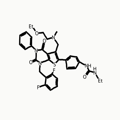 CCNC(=O)Nc1ccc(-c2sc3c(c2CN(C)CCOCC)c(=O)n(-c2ccccc2)c(=O)n3Cc2c(F)cccc2F)cc1